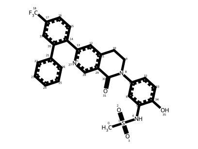 CS(=O)(=O)Nc1cc(N2CCc3cc(-c4ccc(C(F)(F)F)cc4-c4ccccc4)ncc3C2=O)ccc1O